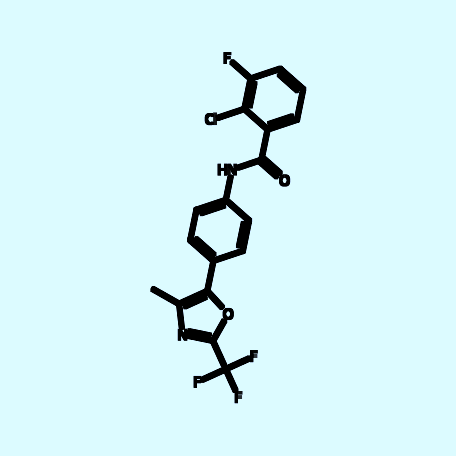 Cc1nc(C(F)(F)F)oc1-c1ccc(NC(=O)c2cccc(F)c2Cl)cc1